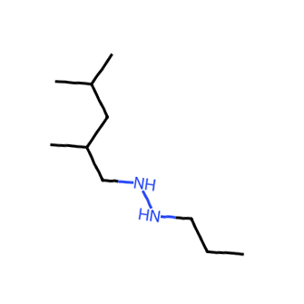 CCCNNCC(C)CC(C)C